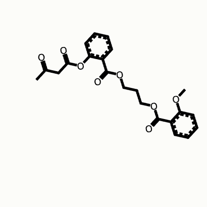 COc1ccccc1C(=O)OCCCOC(=O)c1ccccc1OC(=O)CC(C)=O